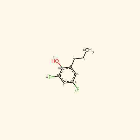 CCCc1cc(F)cc(F)c1O